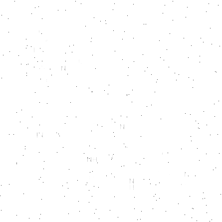 CCn1nc(C2CC2)cc1Nc1nc(C(=O)NCCCc2c[nH]c(CCCc3cccc4c3C(=O)N(C3CCC(=O)NC3=O)C4=O)n2)nc2[nH]c3cc(-c4c(C)noc4C)c(OC)cc3c12